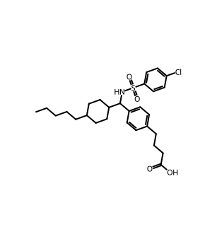 CCCCCC1CCC(C(NS(=O)(=O)c2ccc(Cl)cc2)c2ccc(CCCC(=O)O)cc2)CC1